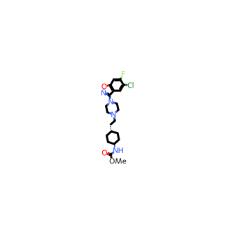 COC(=O)N[C@H]1CC[C@H](CCN2CCN(c3noc4cc(F)c(Cl)cc34)CC2)CC1